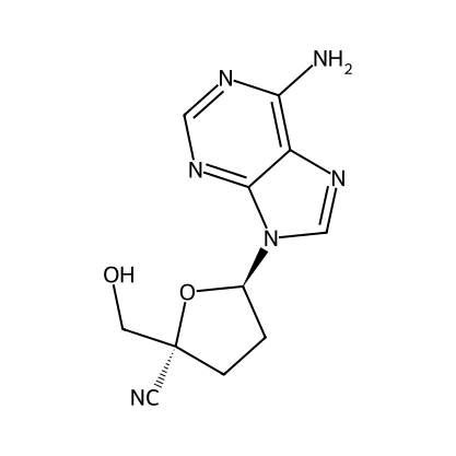 N#C[C@@]1(CO)CC[C@H](n2cnc3c(N)ncnc32)O1